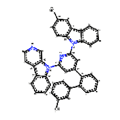 N#Cc1cccc(-c2ccccc2-c2cc(-n3c4ccccc4c4cc(C#N)ccc43)nc(-n3c4ccccc4c4ccncc43)c2)c1